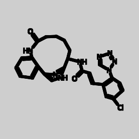 O=C(/C=C/c1cc(Cl)ccc1-n1cnnn1)NC1CCCCC(=O)Nc2ccccc2-c2c[nH]c1n2